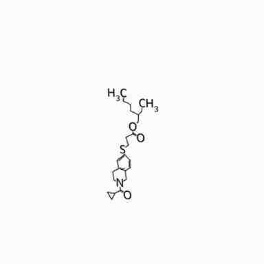 CCCCC(CC)COC(=O)CCSc1ccc2c(c1)CCN(C(=O)C1CC1)C2